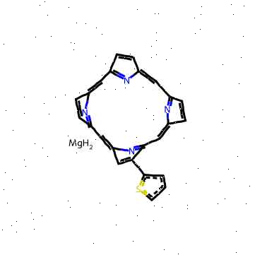 C1=CC2=NC1=CC1=NC(=CC3=NC(=CC4=NC(=C2)C=C4)C=C3c2cccs2)C=C1.[MgH2]